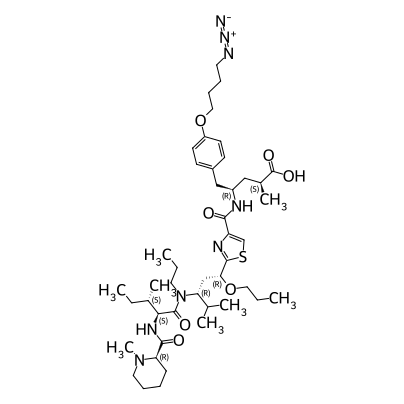 CCCO[C@H](C[C@H](C(C)C)N(CCC)C(=O)[C@@H](NC(=O)[C@H]1CCCCN1C)[C@@H](C)CC)c1nc(C(=O)N[C@@H](Cc2ccc(OCCCCN=[N+]=[N-])cc2)C[C@H](C)C(=O)O)cs1